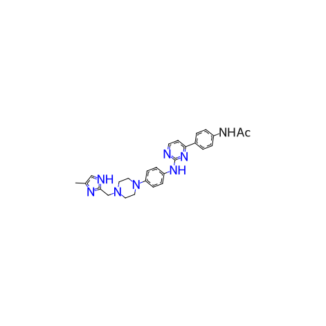 CC(=O)Nc1ccc(-c2ccnc(Nc3ccc(N4CCN(Cc5nc(C)c[nH]5)CC4)cc3)n2)cc1